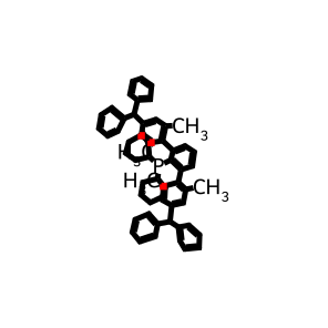 Cc1cc(C(c2ccccc2)c2ccccc2)cc(C)c1-c1cccc(-c2c(C)cc(C(c3ccccc3)c3ccccc3)cc2C)c1P(C1CCCCC1)C1CCCCC1